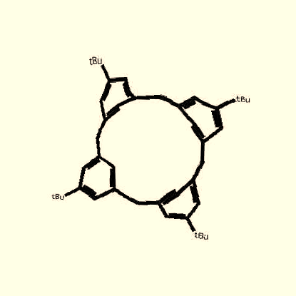 CC(C)(C)c1cc2cc(c1)Cc1cc(cc(C(C)(C)C)c1)Cc1cc(cc(C(C)(C)C)c1)Cc1cc(cc(C(C)(C)C)c1)C2